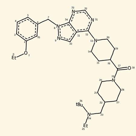 CCOc1cccc(Cn2ncc3c(N4CCC(C(=O)N5CCC(CN(CC)C(C)(C)C)CC5)CC4)ncnc32)c1